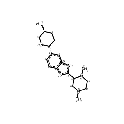 C[C@H]1CC[C@H](c2ccc3sc(C4CN(C)CCN4C)nc3c2)NC1